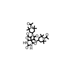 CC(=O)N1C(C)(C)CC(N=C(C=O)C2(C(C=O)=NC3CC(C)(C)N(C(C)=O)C(C)(C)C3)C(=O)NC(=O)NC2=O)CC1(C)C